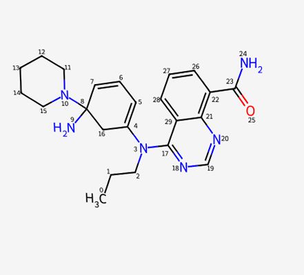 CCCN(C1=CC=CC(N)(N2CCCCC2)C1)c1ncnc2c(C(N)=O)cccc12